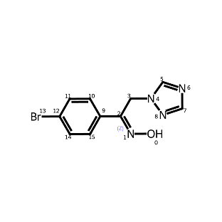 O/N=C(\Cn1cncn1)c1ccc(Br)cc1